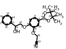 CC1(C)OB(c2ccc(OCC(O)c3ccccc3)c(OCC#N)c2)OC1(C)C